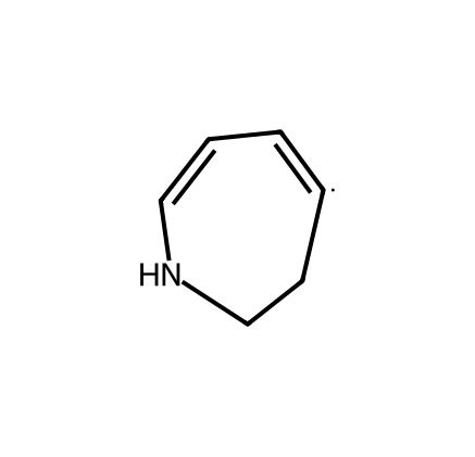 [C]1=CC=CNCC1